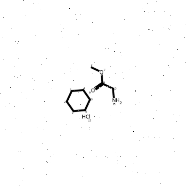 C1CCCCC1.COC(=O)CN.Cl